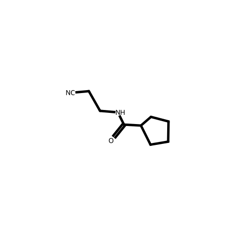 N#CCCNC(=O)C1CCCC1